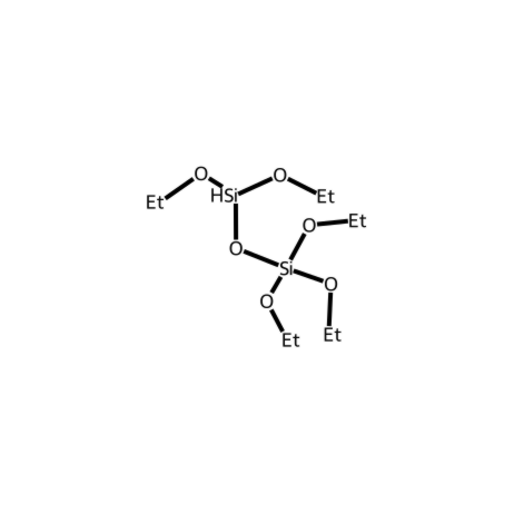 CCO[SiH](OCC)O[Si](OCC)(OCC)OCC